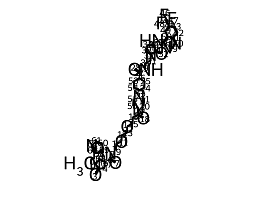 CN1C(=O)C[C@H](C(=O)NCCOCCOCCC(=O)N2CCN([C@H]3CC[C@H](C(=O)NCCN4CC[C@H](Nc5ncnc6ccc(C(F)(F)F)cc56)C4=O)CC3)CC2)[C@H]1c1cccnc1